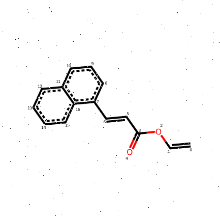 C=COC(=O)C=Cc1cccc2ccccc12